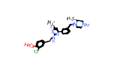 Cc1cc(-c2cccc(CN3CCNC[C@@H]3C)c2)nc(NCCc2ccc(O)c(Cl)c2)n1